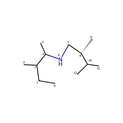 CCC(C)C(C)NC[C@H](C)C(C)C